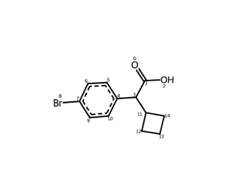 O=C(O)C(c1ccc(Br)cc1)C1CCC1